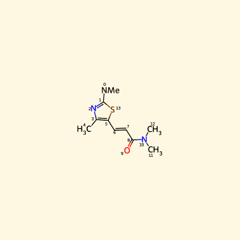 CNc1nc(C)c(C=CC(=O)N(C)C)s1